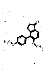 COc1ccc(-c2c(OC)ccc3c2CCC3=O)cc1